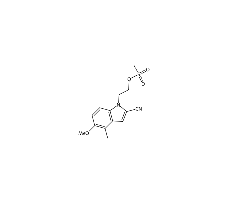 COc1ccc2c(cc(C#N)n2CCOS(C)(=O)=O)c1C